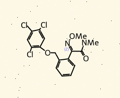 CNC(=O)/C(=N\OC)c1ccccc1COc1cc(Cl)c(Cl)cc1Cl